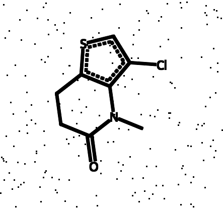 CN1C(=O)CCc2scc(Cl)c21